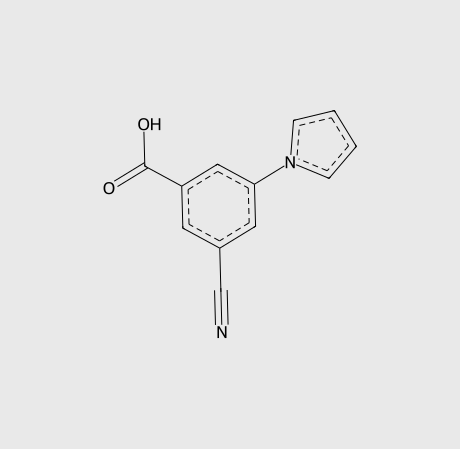 N#Cc1cc(C(=O)O)cc(-n2cccc2)c1